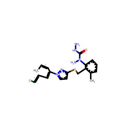 C\C=C/C(=C\C=C\Cl)n1ccc(SCc2c(C)cccc2N(N)C(=O)NN)n1